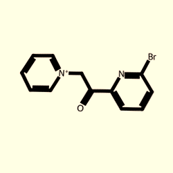 O=C(C[n+]1ccccc1)c1cccc(Br)n1